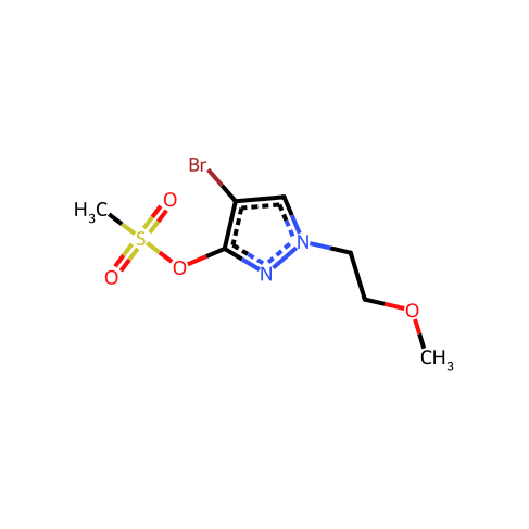 COCCn1cc(Br)c(OS(C)(=O)=O)n1